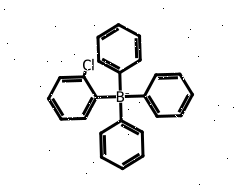 Clc1ccccc1[B-](c1ccccc1)(c1ccccc1)c1ccccc1